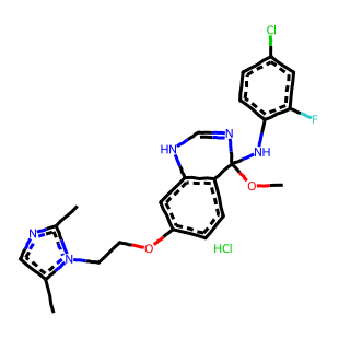 COC1(Nc2ccc(Cl)cc2F)N=CNc2cc(OCCn3c(C)cnc3C)ccc21.Cl